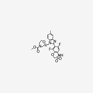 COC(=O)N1CCO[C@@H](Cn2c(-c3c(F)cc4c(c3F)OCS(=O)(=O)N4)nc3cc(C)ccc32)C1